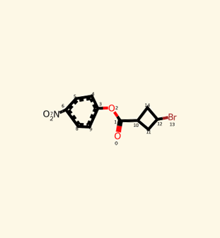 O=C(Oc1ccc([N+](=O)[O-])cc1)C1CC(Br)C1